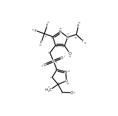 CC1(CCl)CC(S(=O)(=O)Cc2c(C(F)(F)F)nn(C(F)F)c2Cl)=NO1